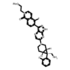 COCCn1ccc2c(F)c(-c3n[nH]c4nc(N5CC[C@@H]6[C@H](C5)[C@@]6(CN)c5ccccc5F)cnc34)ccc2c1=O